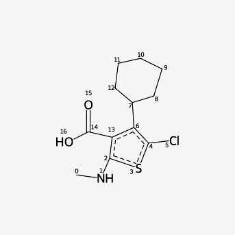 CNc1sc(Cl)c(C2CCCCC2)c1C(=O)O